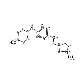 CN1CCC(Nc2ncc(OCC3CCN(C)C3)cn2)CC1